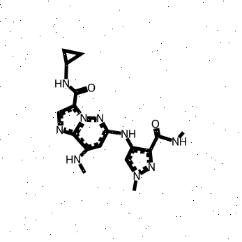 CNC(=O)c1nn(C)cc1Nc1cc(NC)c2ncc(C(=O)NC3CC3)n2n1